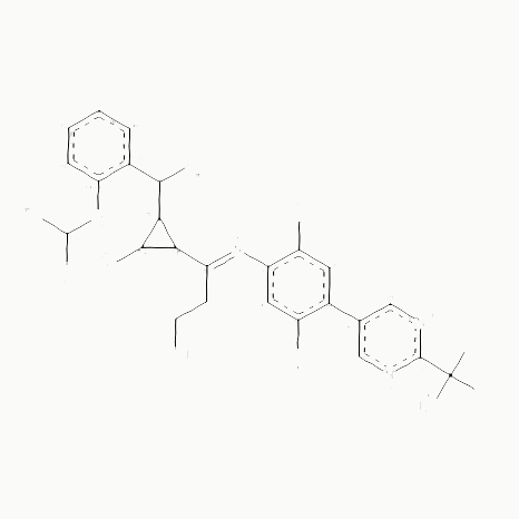 CCC/C(=N\c1cc(F)c(-c2cnc(C(C)(C)O)nc2)cc1C)C1C(C)C1C(C)c1ccccc1OC(F)F